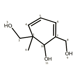 CC1(CO)C=CC=C(CO)C1O